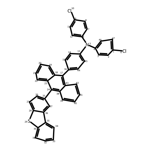 Clc1ccc(N(c2ccc(Cl)cc2)c2ccc(-c3c4ccccc4c(-c4ccc5sc6ccccc6c5c4)c4ccccc34)cc2)cc1